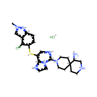 Cl.Cn1cc2c(Cl)c(Sc3cnc(N4CCC5(CCNCC5N)CC4)n4ccnc34)ccc2n1